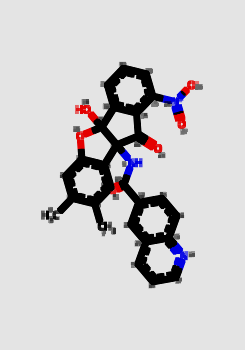 Cc1cc2c(cc1C)C1(NC(=O)c3ccc4ncccc4c3)C(=O)c3c([N+](=O)[O-])cccc3C1(O)O2